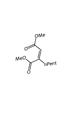 CCCCCC(=CC(=O)OC)C(=O)OC